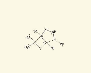 CC(=O)[C@H]1NC[C@H]2[C@@H]1CC2(C)C